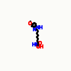 COc1ccc2[nH]c(CCCCCCC(=O)NO)nc2c1